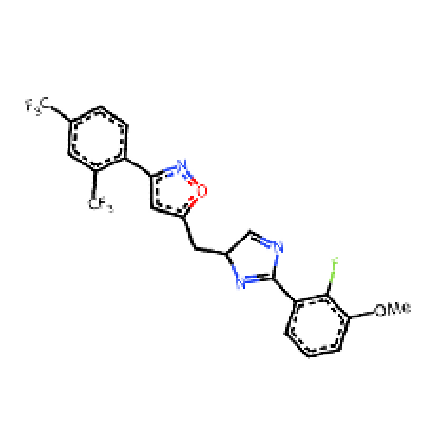 COc1cccc(C2=NC(Cc3cc(-c4ccc(C(F)(F)F)cc4C(F)(F)F)no3)C=N2)c1F